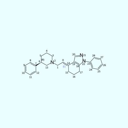 C(/CN1CCC[C@H](c2ccccc2)C1)=C1/CCCc2c1cnn2-c1ccccc1